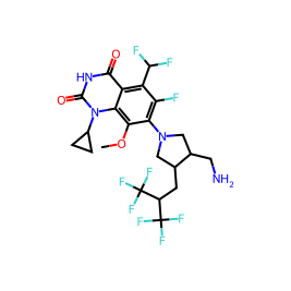 COc1c(N2CC(CN)C(CC(C(F)(F)F)C(F)(F)F)C2)c(F)c(C(F)F)c2c(=O)[nH]c(=O)n(C3CC3)c12